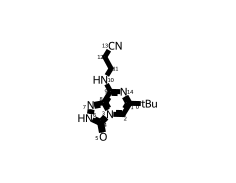 CC(C)(C)c1cn2c(=O)[nH]nc2c(NCCC#N)n1